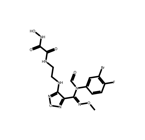 CO/N=C(/c1nonc1NCCNC(=O)C(=O)NO)N(C=O)c1ccc(F)c(Br)c1